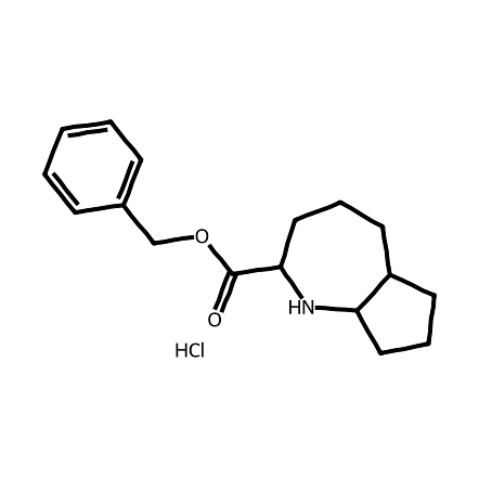 Cl.O=C(OCc1ccccc1)C1CCCC2CCCC2N1